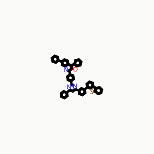 c1ccc(-c2ccc3c(c2)nc(-c2ccc(-c4nc(-c5ccccc5)cc(-c5cccc(-c6cccc7c6sc6ccccc67)c5)n4)cc2)c2oc4ccccc4c23)cc1